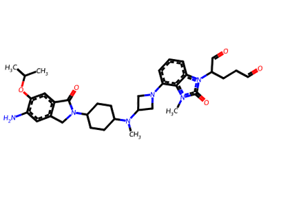 CC(C)Oc1cc2c(cc1N)CN(C1CCC(N(C)C3CN(c4cccc5c4n(C)c(=O)n5C(C=O)CCC=O)C3)CC1)C2=O